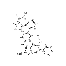 CCCCc1nc2cc(-c3ccccn3)c(CF)nc2n1Cc1ccc(-c2ccccc2-c2nnnn2C(C)OCC)cc1